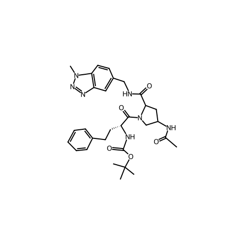 CC(=O)NC1CC(C(=O)NCc2ccc3c(c2)nnn3C)N(C(=O)[C@@H](CCc2ccccc2)NC(=O)OC(C)(C)C)C1